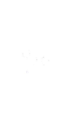 COc1ccc2c(N3CCNCC3)c(-c3ccccc3)oc2c1